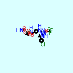 CNC(=O)OCC1(S(=O)(=O)NC(=O)c2ccc(Nc3nc(NC4(c5ccc(Cl)cc5)CC4)nc(OCC(F)(F)F)n3)cc2)CC1